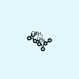 C=C/C=c1\c(=C/C)c2ccccc2n1-c1ccc2c(c1)C(C)(C)c1cc(N(c3ccccc3)c3ccc(-c4ccccc4)cc3)ccc1-2